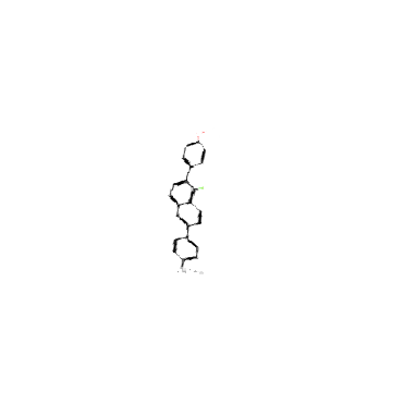 CCCCCc1ccc(-c2ccc3c(F)c(-c4ccc(OC(F)(F)F)cc4)ccc3c2)cc1